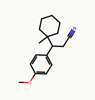 COc1ccc(C(CC#N)C2(C)CCCCC2)cc1